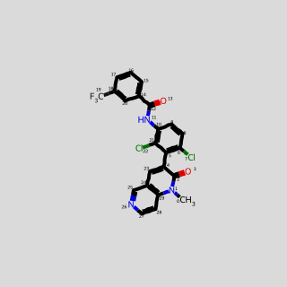 Cn1c(=O)c(-c2c(Cl)ccc(NC(=O)c3cccc(C(F)(F)F)c3)c2Cl)cc2cnccc21